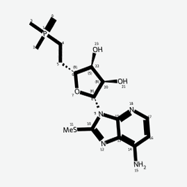 C=P(C)(C)CC[C@H]1O[C@@H](n2c(SC)nc3c(N)ccnc32)[C@H](O)[C@@H]1O